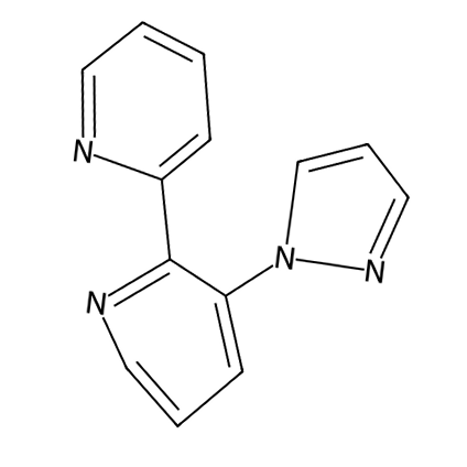 c1ccc(-c2ncccc2-n2cccn2)nc1